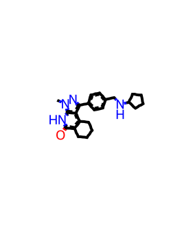 Cn1nc(-c2ccc(CNC3CCCC3)cc2)c2c3c(c(=O)[nH]c21)CCCC3